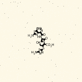 Nc1nnc(SC2=C(C(=O)O)N3C(=O)[C@@H](NC(=O)/C(=N/O)c4nc(N)sc4Cl)C3[S+]([O-])C2)s1